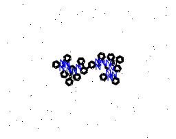 c1ccc([Si](c2ccccc2)(c2ccccc2)c2nc(-n3c4ccccc4c4c(-c5ccc6c(c5)nc5n(-c7cc(-n8c9ccccc9n9c%10ccccc%10nc89)nc([Si](c8ccccc8)(c8ccccc8)c8ccccc8)n7)c7ccccc7n65)cccc43)cc(-n3c4ccccc4n4c5ccccc5nc34)n2)cc1